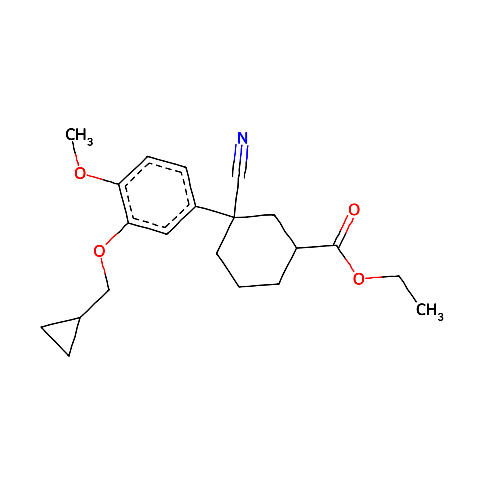 CCOC(=O)C1CCCC(C#N)(c2ccc(OC)c(OCC3CC3)c2)C1